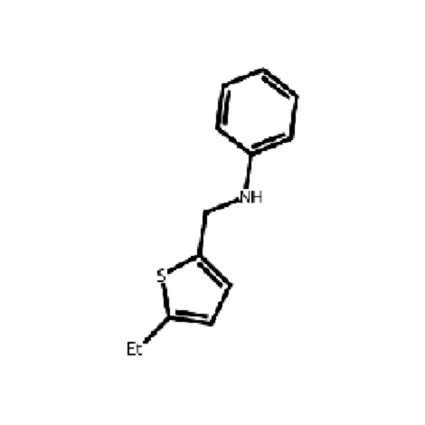 CCc1ccc(CNc2ccccc2)s1